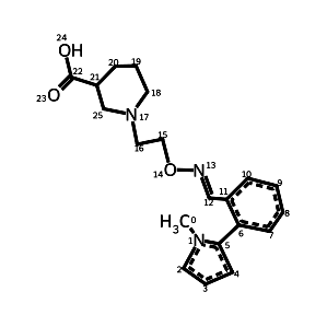 Cn1cccc1-c1ccccc1C=NOCCN1CCCC(C(=O)O)C1